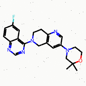 CC1(C)CN(c2cnc3c(c2)CN(c2ncnc4ccc(F)cc24)CC3)CCO1